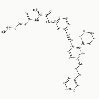 CNC/C=C/C(=O)N[C@@H](C)C(=O)Nc1cccc(C#Cc2cnc(NCCc3ccncc3)nc2N2CCOCC2)c1